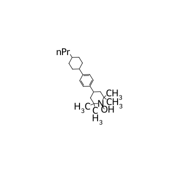 CCCC1CCC(c2ccc(C3CC(C)(C)N(O)C(C)(C)C3)cc2)CC1